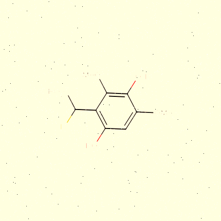 COc1cc(O)c(C(S)C(=O)O)c(OC)c1O